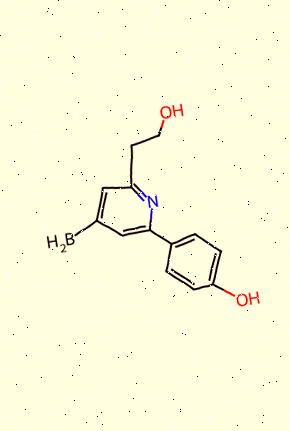 Bc1cc(CCO)nc(-c2ccc(O)cc2)c1